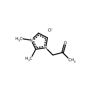 CC(=O)Cn1cc[n+](C)c1C.[Cl-]